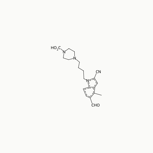 Cc1c(C=O)ccc2c1cc(C#N)n2CCCCN1CCN(C(=O)O)CC1